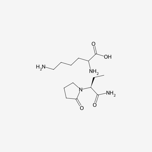 CC[C@@H](C(N)=O)N1CCCC1=O.NCCCCC(N)C(=O)O